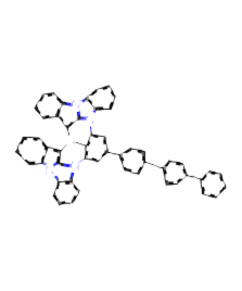 c1ccc(-c2ccc(-c3ccc(-c4cc5c6c(c4)-n4c7ccccc7n7c8ccccc8c(c47)B6c4c6ccccc6n6c7ccccc7n-5c46)cc3)cc2)cc1